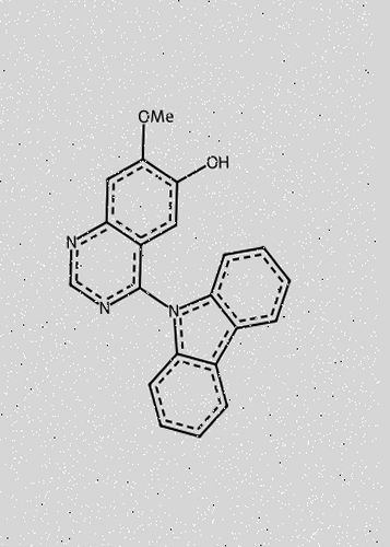 COc1cc2ncnc(-n3c4ccccc4c4ccccc43)c2cc1O